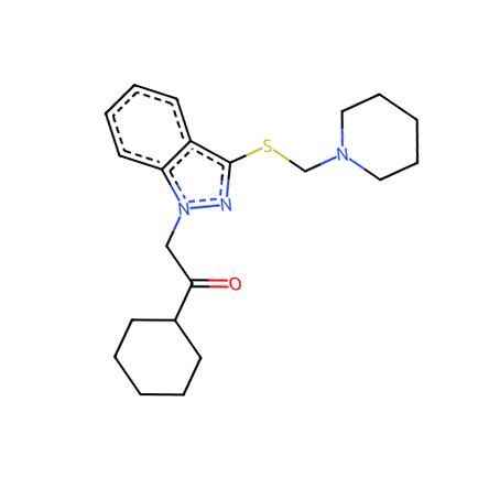 O=C(Cn1nc(SCN2CCCCC2)c2ccccc21)C1CCCCC1